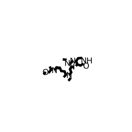 CC/N=C(\N=C1\CCNC(=O)CC1C)N(C)CCN(CC)C(C)CC/C=C\N=C(/C)COC